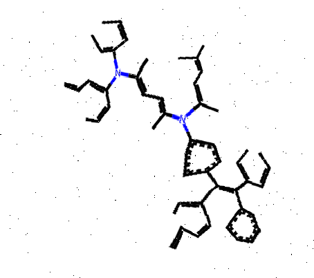 C=C\C=C/C(=C\C)C(=C(C(/C=C\C)=C/C)\c1ccccc1)/c1ccc(N(/C(C)=C/C=C(C)C)/C(C)=C/C=C(\C)N(C(/C=C\C)=C/C)C(/C=C\C)=C/C=C)cc1